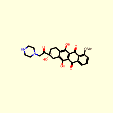 COc1cccc2c1C(=O)c1c(O)c3c(c(O)c1C2=O)C[C@@](O)(C(=O)CN1CCNCC1)CC3